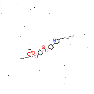 C=CC(=O)OC(CCCCCC)Oc1ccc(C(=O)Oc2ccc(-c3ccc(CCCCCCC)cn3)cc2)cc1